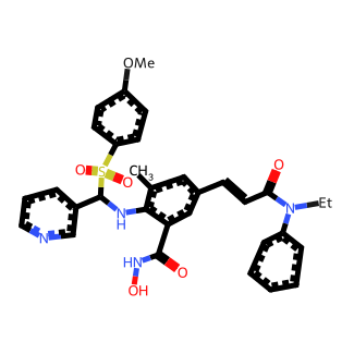 CCN(C(=O)/C=C/c1cc(C)c(NC(c2cccnc2)S(=O)(=O)c2ccc(OC)cc2)c(C(=O)NO)c1)c1ccccc1